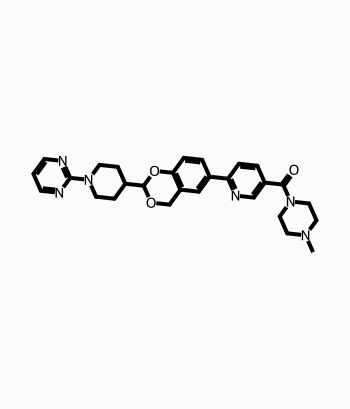 CN1CCN(C(=O)c2ccc(-c3ccc4c(c3)COC(C3CCN(c5ncccn5)CC3)O4)nc2)CC1